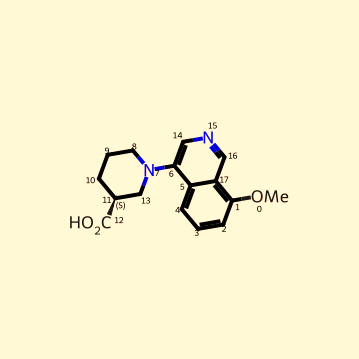 COc1cccc2c(N3CCC[C@H](C(=O)O)C3)cncc12